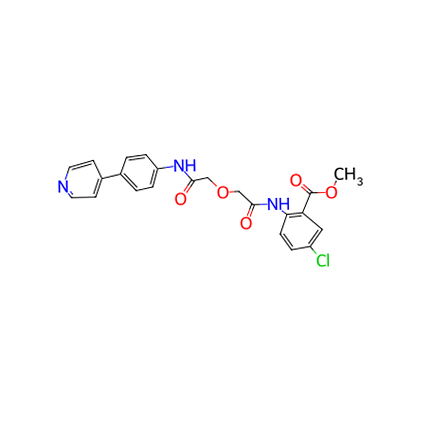 COC(=O)c1cc(Cl)ccc1NC(=O)COCC(=O)Nc1ccc(-c2ccncc2)cc1